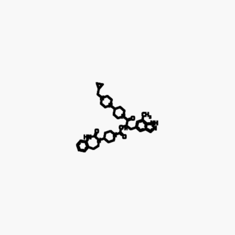 Cc1cc(C[C@@H](OC(=O)N2CCC(N3CCc4ccccc4NC3=O)CC2)C(=O)N2CCC(N3CCN(CC4CC4)CC3)CC2)cc2cn[nH]c12